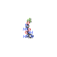 O=C(Nc1ccc(OCC(F)(F)F)nc1)C(=O)Nc1c[nH]c2ccncc12